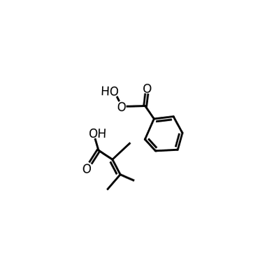 CC(C)=C(C)C(=O)O.O=C(OO)c1ccccc1